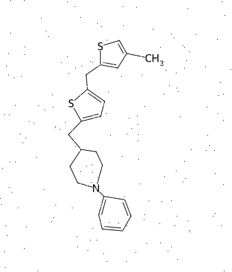 Cc1csc(Cc2ccc(CC3CCN(c4ccccc4)CC3)s2)c1